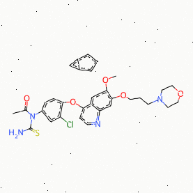 COc1cc2c(Oc3ccc(N(C(C)=O)C(N)=S)cc3Cl)ccnc2cc1OCCCN1CCOCC1.c1cc2cc-2c1